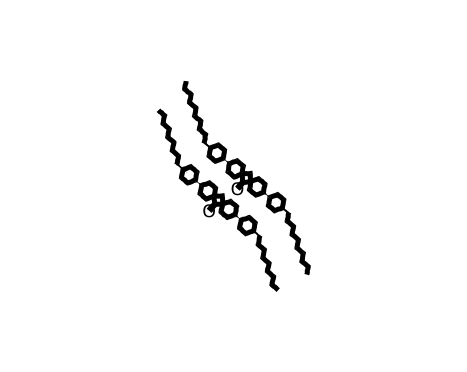 CCCCCCCCCC[C@H]1CC[C@H](C2CCC3(CC2)CC2(CCC([C@H]4CC[C@H](CCCCCCCCCC)CC4)CC2)C3=O)CC1.CCCCCCCCC[C@H]1CC[C@H](C2CCC3(CC2)CC2(CCC([C@H]4CC[C@H](CCCCCCCCC)CC4)CC2)C3=O)CC1